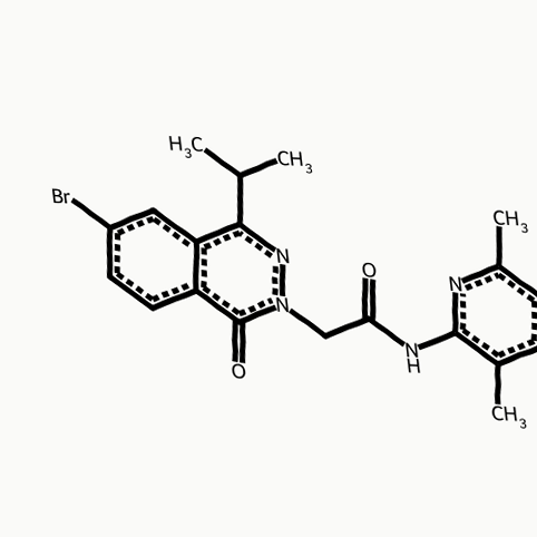 Cc1ccc(C)c(NC(=O)Cn2nc(C(C)C)c3cc(Br)ccc3c2=O)n1